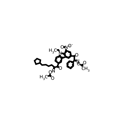 CCn1c2ccc(C(=O)/C(CCCCC3CCCC3)=N/OC(C)=O)cc2c2cc(C(=O)/C(=N/OC(C)=O)c3ccccc3)cc([N+](=O)[O-])c21